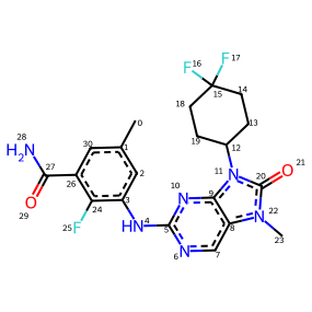 Cc1cc(Nc2ncc3c(n2)n(C2CCC(F)(F)CC2)c(=O)n3C)c(F)c(C(N)=O)c1